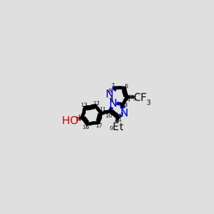 CCc1nc2c(C(F)(F)F)ccnn2c1-c1ccc(O)cc1